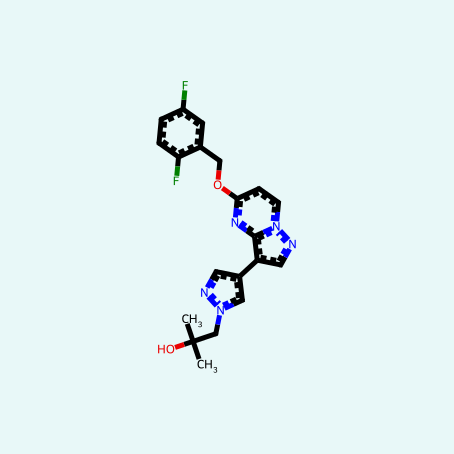 CC(C)(O)Cn1cc(-c2cnn3ccc(OCc4cc(F)ccc4F)nc23)cn1